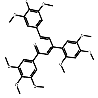 COc1cc(OC)c(C(C=Cc2cc(OC)c(OC)c(OC)c2)=CC(=O)c2cc(OC)c(OC)c(OC)c2)cc1OC